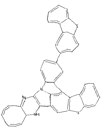 C1=CC2=Nc3c(c4cc5sc6ccccc6c5c5c6cc(-c7ccc8sc9ccccc9c8c7)ccc6n3c45)NC2C=C1